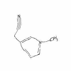 C[n+]1cccc(CC#N)c1